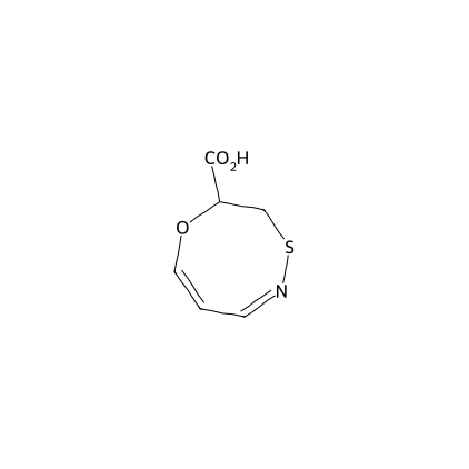 O=C(O)C1CSN=CC=CO1